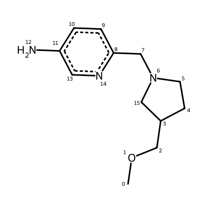 COCC1CCN(Cc2ccc(N)cn2)C1